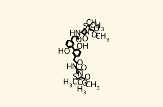 COC(=O)C1N2C(=O)C(NC(=O)Cc3ccc(O)c(-c4cc(CC(=O)NC5C(=O)N6C5SC(C)(C)C6C(=O)OC)ccc4O)c3)C2SC1(C)C